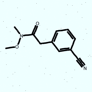 CON(C)C(=O)Cc1cccc(C#N)c1